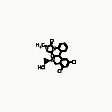 CN1CC(=O)N(c2ccccc2C2CN(C3CC3)Cc3c(Cl)cc(Cl)cc32)C1=O.Cl